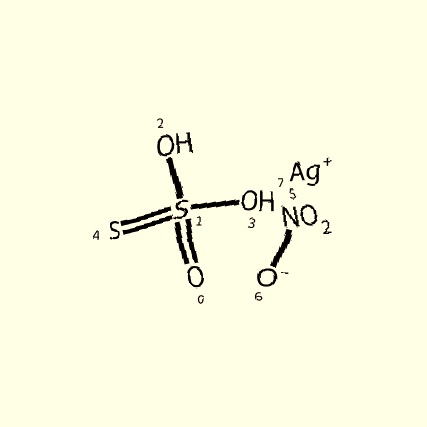 O=S(O)(O)=S.O=[N+]([O-])[O-].[Ag+]